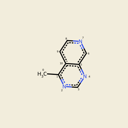 Cc1ncnc2cnccc12